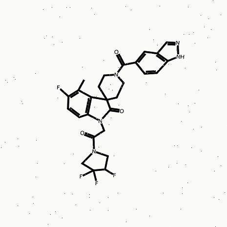 Cc1c(F)ccc2c1C1(CCN(C(=O)c3ccc4[nH]ncc4c3)CC1)C(=O)N2CC(=O)N1CC(F)C(F)(F)C1